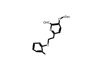 CCCCCCCCCCOc1ccc(CCOc2ccccc2I)nc1C=O